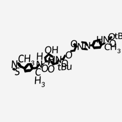 Cc1ncsc1-c1ccc([C@H](C)NC(=O)[C@@H]2C[C@@H](O)CN2C(=O)[C@@H](NC(=O)COCCC(=O)N2CCN(c3ccc([C@H](C)NC(=O)OC(C)(C)C)cc3)CC2)C(C)(C)C)cc1